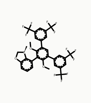 COc1c(-c2cc(C(F)(F)F)cc(C(F)(F)F)c2)cc(-c2cc(C(F)(F)F)cc(C(F)(F)F)c2)c(OC)c1-c1cccc2c1[P@](C)CO2